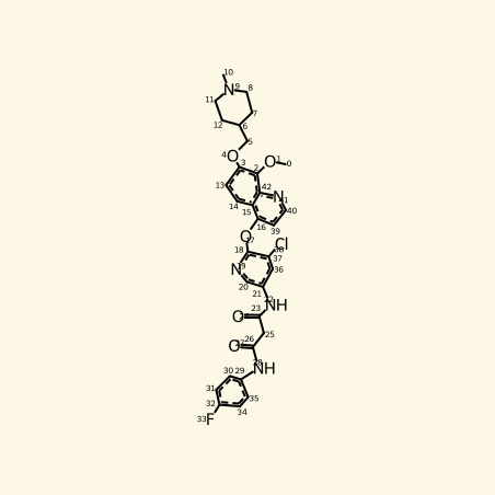 COc1c(OCC2CCN(C)CC2)ccc2c(Oc3ncc(NC(=O)CC(=O)Nc4ccc(F)cc4)cc3Cl)ccnc12